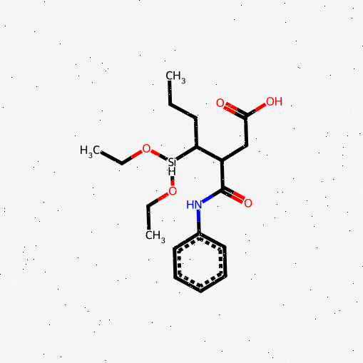 CCCC(C(CC(=O)O)C(=O)Nc1ccccc1)[SiH](OCC)OCC